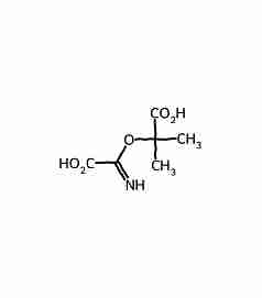 CC(C)(OC(=N)C(=O)O)C(=O)O